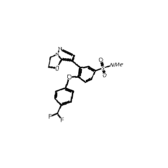 CNS(=O)(=O)c1ccc(Oc2ccc(C(F)F)cc2)c(-c2cnn3c2OCC3)c1